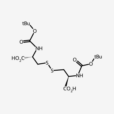 CC(C)(C)OC(=O)N[C@H](CSSC[C@@H](NC(=O)OC(C)(C)C)C(=O)O)C(=O)O